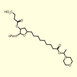 CCCCCC1OC(CCCCCCCCC(=O)OC(C)N2CCOCC2)CC1OC(=O)CCC(=O)O